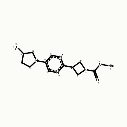 CC(C)(C)OC(=O)N1CC(c2ncc(N3CCC(C(F)(F)F)C3)cn2)C1